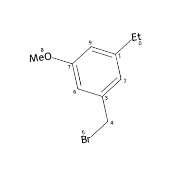 CCc1cc(CBr)cc(OC)c1